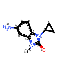 CCn1c(=O)n(C2CC2)c2ccc(N)cc21